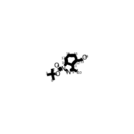 CC(C)(C)OC(=O)n1nc(I)c2c(C=O)cccc21